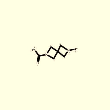 CC(C)C(=O)N1CC2(C1)CN(C(C)C)C2